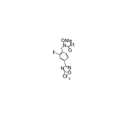 CCC(=O)N(Cc1ccc(-c2noc(C(F)(F)F)n2)cc1F)OC